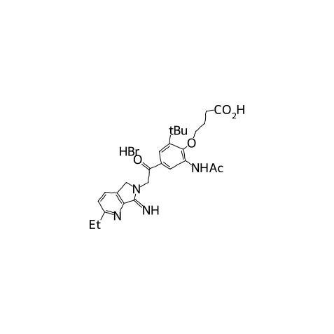 Br.CCc1ccc2c(n1)C(=N)N(CC(=O)c1cc(NC(C)=O)c(OCCCC(=O)O)c(C(C)(C)C)c1)C2